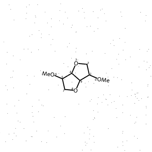 COC1COC2C(OC)COC12